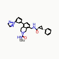 CC(C)(C)NC(=O)N1CCc2c(-c3cccc(-n4nccn4)c3)ccc(CNC(=O)[C@H]3C[C@@H]3c3ccccc3)c2C1